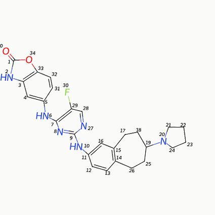 O=c1[nH]c2cc(Nc3nc(Nc4ccc5c(c4)CCC(N4CCCC4)CC5)ncc3F)ccc2o1